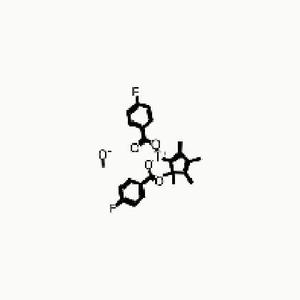 CC1=C(C)C(C)(C)[C]([Ti+]([O]C(=O)c2ccc(F)cc2)[O]C(=O)c2ccc(F)cc2)=C1C.C[O-]